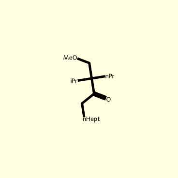 CCCCCCCCC(=O)C(CCC)(COC)C(C)C